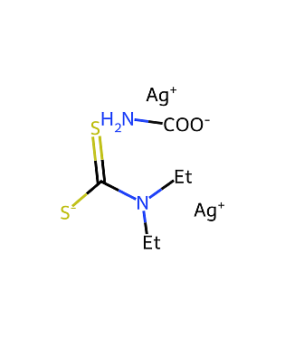 CCN(CC)C(=S)[S-].NC(=O)[O-].[Ag+].[Ag+]